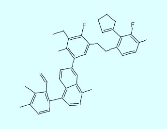 C=Cc1c(-c2ccc(C)c3cc(-c4cc(CCc5ccc(C)c(F)c5C5=CCCC5)c(F)c(CC)c4C)ccc23)ccc(C)c1C